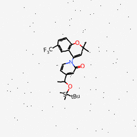 CC(O[Si](C)(C)C(C)(C)C)c1ccn(C2=CC(C)(C)Oc3ccc(C(F)(F)F)cc32)c(=O)c1